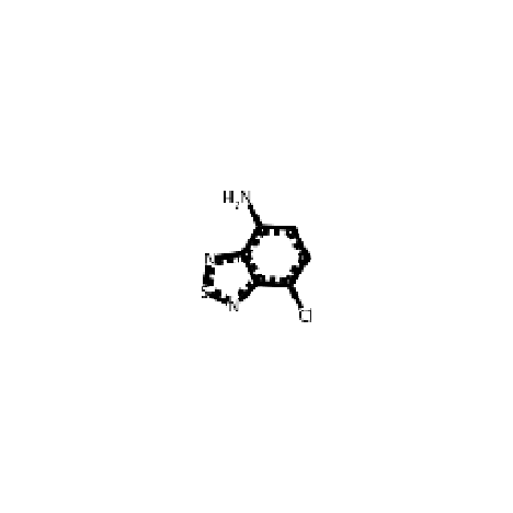 Nc1ccc(Cl)c2nsnc12